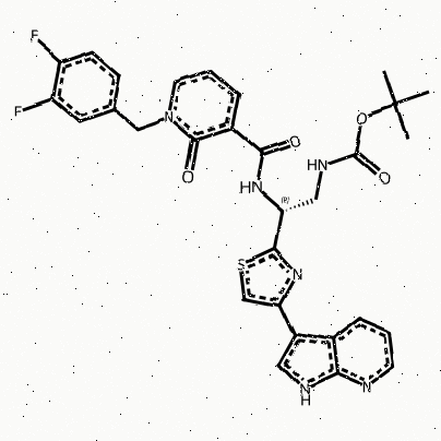 CC(C)(C)OC(=O)NC[C@@H](NC(=O)c1cccn(Cc2ccc(F)c(F)c2)c1=O)c1nc(-c2c[nH]c3ncccc23)cs1